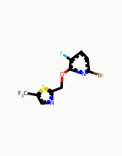 Fc1ccc(Br)nc1OCc1ncc(C(F)(F)F)s1